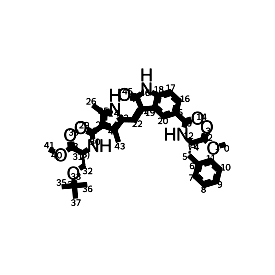 COC(=O)[C@H](Cc1ccccc1)NC(=O)c1ccc2c(c1)C(=Cc1[nH]c(C)c(C(=O)N[C@@H](COC(C)(C)C)C(=O)OC)c1C)C(=O)N2